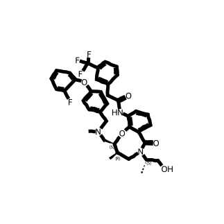 C[C@@H]1CN([C@@H](C)CO)C(=O)c2cccc(NC(=O)Cc3cccc(C(F)(F)F)c3)c2O[C@@H]1CN(C)Cc1ccc(Oc2ccccc2F)cc1